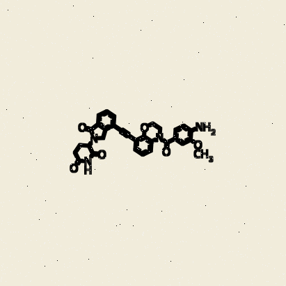 COc1cc(C(=O)N2CCOc3c(C#Cc4cccc5c4CN(C4CCC(=O)NC4=O)C5=O)cccc32)ccc1N